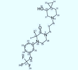 CC1(I)C(=O)N(CCCN2CCC3(CC3)C(O)C2)CCN1c1cccc(OC(F)(F)F)c1